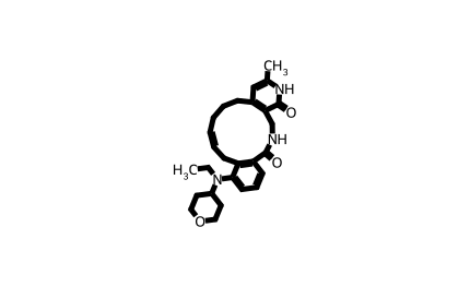 CCN(c1cccc2c1C/C=C\CCCc1cc(C)[nH]c(=O)c1CNC2=O)C1CCOCC1